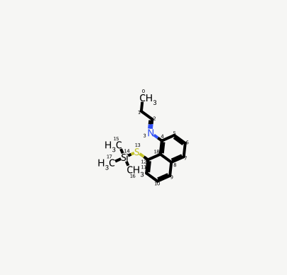 CCC=Nc1cccc2cccc(S[Si](C)(C)C)c12